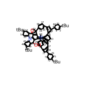 CC(C)(C)C1=CC=C(c2cc3cc(c2)-c2cccc4c5cccc6c5n(c24)-c2c(c4c5c(c2C(C)(C)c2ccc-3cc2)c(=O)c2c(n5-c3ccc(C(C)(C)C)cc3C4O)=CCC(C(C)(C)C)C=2)C(C)(C)c2ccc(cc2)-c2cc(-c3ccc(C(C)(C)C)cc3)cc-6c2)CC1